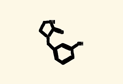 O=C1NCCN1Cc1cccc(O)c1